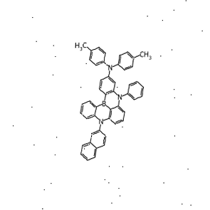 Cc1ccc(N(c2ccc(C)cc2)c2ccc3c(c2)N(c2ccccc2)c2cccc4c2B3c2ccccc2N4c2ccc3ccccc3c2)cc1